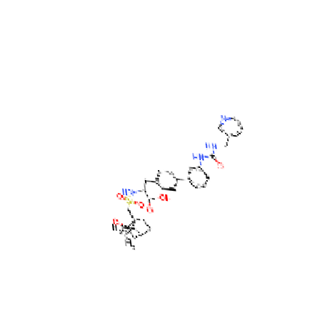 CC1(C)C2CC[C@@]1(CS(=O)(=O)N[C@@H](Cc1ccc(-c3cccc(NC(=O)NCc4cccnc4)c3)cc1)C(=O)O)C(=O)C2